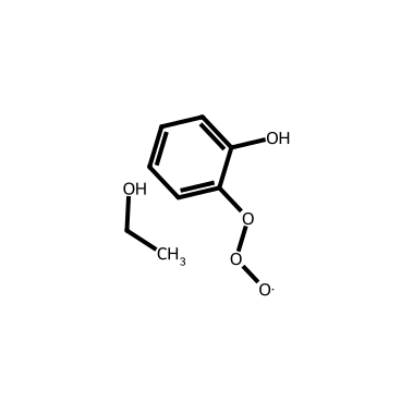 CCO.[O]OOc1ccccc1O